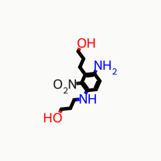 Nc1ccc(NCCCO)c([N+](=O)[O-])c1CCCO